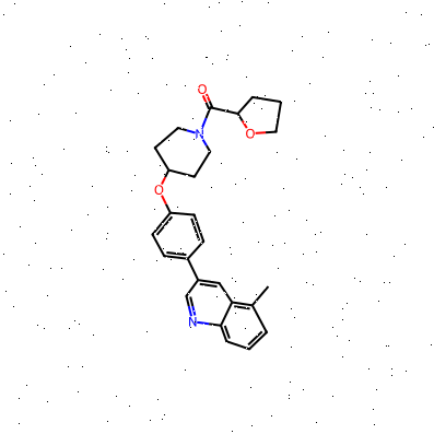 Cc1cccc2ncc(-c3ccc(OC4CCN(C(=O)C5CCCO5)CC4)cc3)cc12